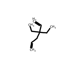 C=CCC(C=C)(CC)CC